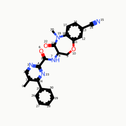 Cc1cnc(C(=O)NC2COc3cc(C#N)ccc3N(C)C2=O)nc1-c1ccccc1